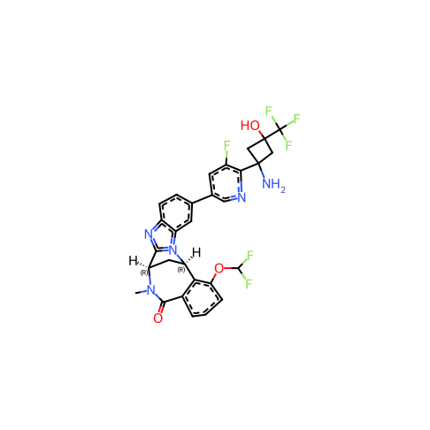 CN1C(=O)c2cccc(OC(F)F)c2[C@H]2C[C@@H]1c1nc3ccc(-c4cnc(C5(N)CC(O)(C(F)(F)F)C5)c(F)c4)cc3n12